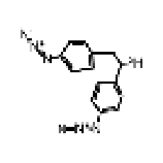 [2H]C(Cc1ccc(N=[N+]=[N-])cc1)c1ccc(N=[N+]=[N-])cc1